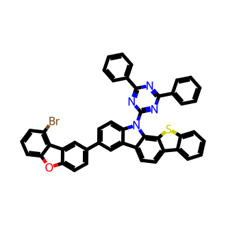 Brc1cccc2oc3ccc(-c4ccc5c(c4)c4ccc6c7ccccc7sc6c4n5-c4nc(-c5ccccc5)nc(-c5ccccc5)n4)cc3c12